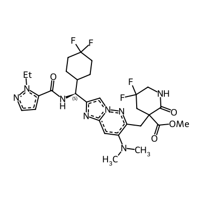 CCn1nccc1C(=O)N[C@H](c1cn2nc(CC3(C(=O)OC)CC(F)(F)CNC3=O)c(N(C)C)cc2n1)C1CCC(F)(F)CC1